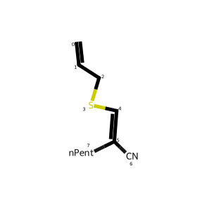 C=CCS/C=C(/C#N)CCCCC